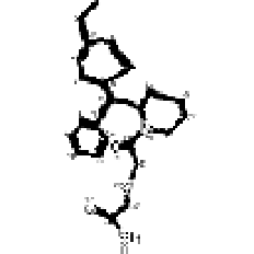 CCc1ccc(C(c2ccccc2)C2CCCCN2C(=O)COCC(=O)O)cc1